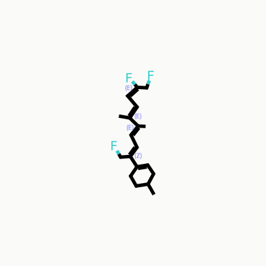 CC(=C\C=C(/CF)C1=CCC(C)CC1)/C(C)=C/C=C(/F)CF